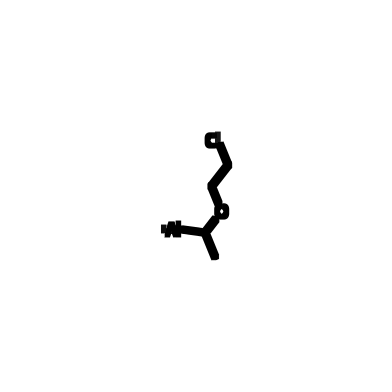 C[CH]([Al])OCCCl